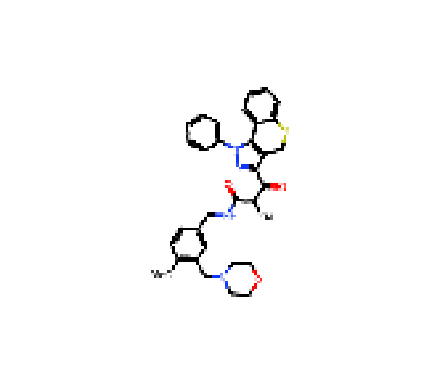 COc1ccc(CNC(=O)C(C#N)C(=O)c2nn(-c3ccccc3)c3c2CSc2ccccc2-3)cc1CN1CCOCC1